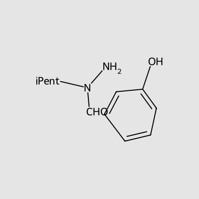 CCCC(C)N(N)C=O.Oc1ccccc1